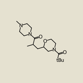 CC(CC1CN(C(=O)C(C)(C)C)CCO1)C(=O)N1CCN(C)CC1